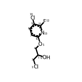 OC(CCl)COc1ccc(Cl)c(F)n1